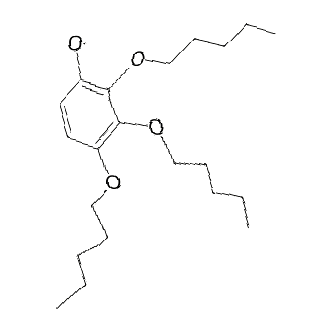 CCCCCOc1ccc([O])c(OCCCCC)c1OCCCCC